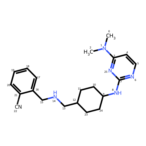 CN(C)c1ccnc(NC2CCC(CNCc3ccccc3C#N)CC2)n1